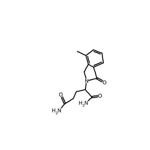 Cc1cccc2c1CN(C(CCC(N)=O)C(N)=O)C2=O